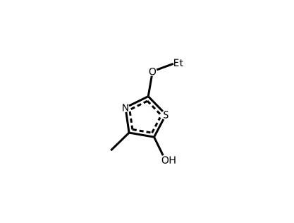 CCOc1nc(C)c(O)s1